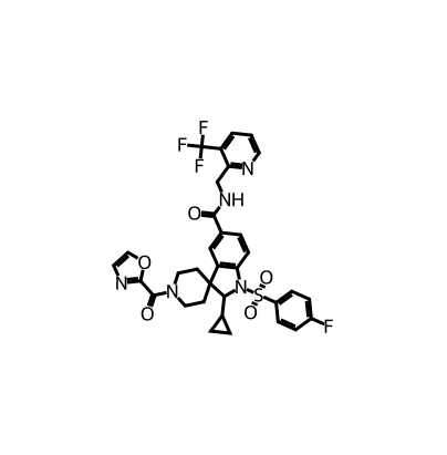 O=C(NCc1ncccc1C(F)(F)F)c1ccc2c(c1)C1(CCN(C(=O)c3ncco3)CC1)C(C1CC1)N2S(=O)(=O)c1ccc(F)cc1